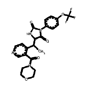 CC(c1ccncc1C(=O)N1CCOCC1)C1NC(=O)N(c2ccc(OC(F)(F)F)cc2)C1=O